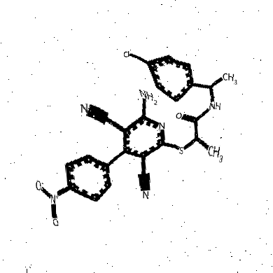 CC(Sc1nc(N)c(C#N)c(-c2ccc([N+](=O)[O-])cc2)c1C#N)C(=O)NC(C)c1ccc(Cl)cc1